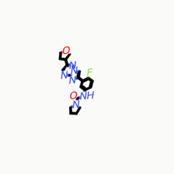 O=C(Nc1ccc(F)c(-c2cn3nc(C4CCOC4)cnc3n2)c1)N1CCCC1